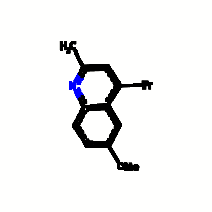 COc1ccc2nc(C)cc(C(C)C)c2c1